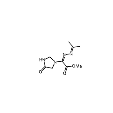 COC(=O)C(=NN=C(C)C)N1CNC(=O)C1